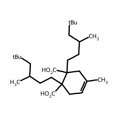 CC1=CCC(CCC(C)CC(C)(C)C)(C(=O)O)C(CCC(C)CC(C)(C)C)(C(=O)O)C1